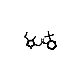 CSc1nnc(CNc2ccccc2C(C)(C)C)n1C